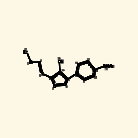 CCOC=Nc1occ(-c2ccc(NC(C)=O)cc2)c1C#N